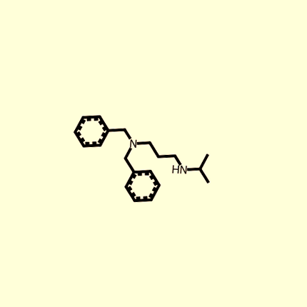 CC(C)NCCCN(Cc1ccccc1)Cc1ccccc1